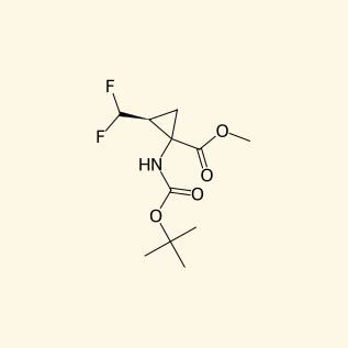 COC(=O)C1(NC(=O)OC(C)(C)C)C[C@@H]1C(F)F